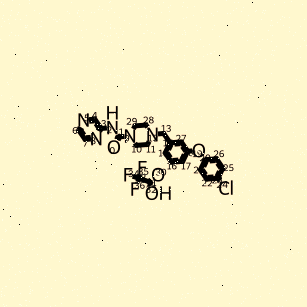 O=C(Nc1cnccn1)N1CCN(Cc2cccc(Oc3ccc(Cl)cc3)c2)CC1.O=C(O)C(F)(F)F